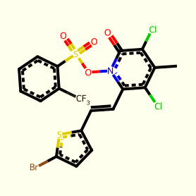 Cc1c(Cl)c(C=Cc2ccc(Br)s2)n(OS(=O)(=O)c2ccccc2C(F)(F)F)c(=O)c1Cl